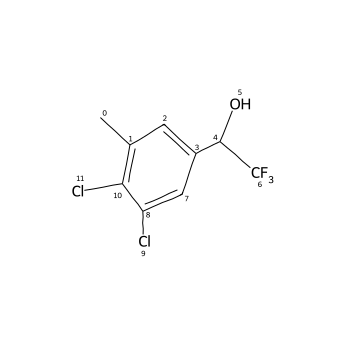 Cc1cc(C(O)C(F)(F)F)cc(Cl)c1Cl